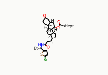 CCCCCCCC(=O)O[C@@H]1C[C@@H]2CC(=O)CC[C@]2(C)[C@H]2CC[C@]3(C)[C@@H]([C@H](C)CC(=O)N[C@H](CC)c4ccc(Br)s4)CC[C@H]3[C@H]12